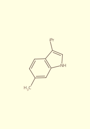 Cc1ccc2c(C(C)C)c[nH]c2c1